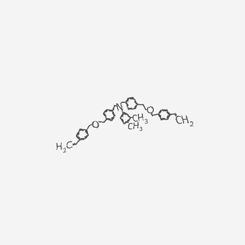 C=Cc1ccc(COCCc2ccc(CN(Cc3ccc(CCOCc4ccc(C=C)cc4)cc3)c3ccc(C)c(C)c3)cc2)cc1